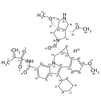 C=C(C)S(=O)(=O)NC(=O)c1ccc2c(C3CCCCC3)c3n(c2c1)C[C@@]1(C(=O)N2C[C@@]4(COC)CNC[C@@]4(COC)C2)C[C@H]1c1cc(OC)ccc1-3